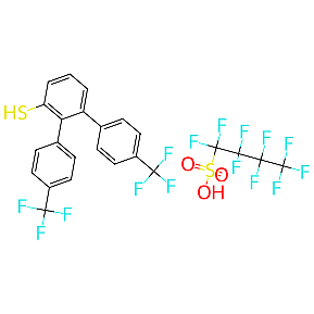 FC(F)(F)c1ccc(-c2cccc(S)c2-c2ccc(C(F)(F)F)cc2)cc1.O=S(=O)(O)C(F)(F)C(F)(F)C(F)(F)C(F)(F)F